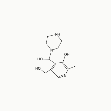 Cc1ncc(CO)c(C(O)N2CCNCC2)c1O